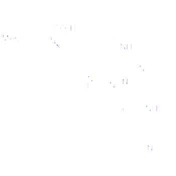 COCCN(C(=O)O)[C@H]1CC[C@H](Nc2cc(NC3CC3)c3ncc(C(=O)Nc4ccncc4F)n3n2)CC1